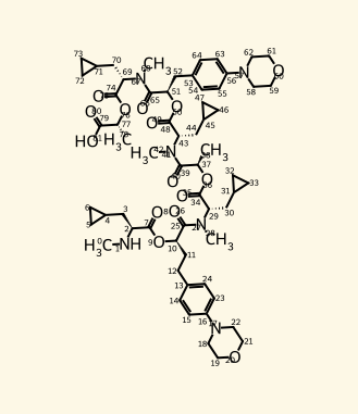 CN[C@@H](CC1CC1)C(=O)O[C@H](CCc1ccc(N2CCOCC2)cc1)C(=O)N(C)[C@@H](CC1CC1)C(=O)O[C@H](C)C(=O)N(C)[C@@H](CC1CC1)C(=O)O[C@H](Cc1ccc(N2CCOCC2)cc1)C(=O)N(C)[C@@H](CC1CC1)C(=O)O[C@H](C)C(=O)O